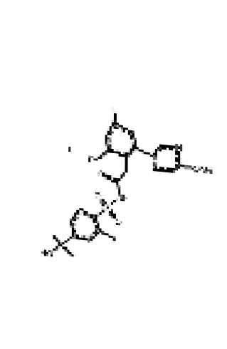 COc1ccc(-c2cc(F)cc(C(C)C)c2CC(=O)NS(=O)(=O)c2ccc(C(C)(C)O)cc2C)cn1.[K]